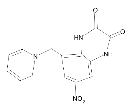 O=c1[nH]c2cc([N+](=O)[O-])cc(CN3C=CC=CC3)c2[nH]c1=O